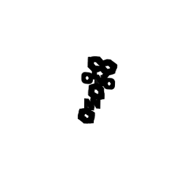 O=C1c2cccc3cccc(c23)C(=O)N1c1ccc(/N=N/c2ccccc2)cc1